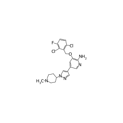 CN1CCC(n2cc(-c3cnc(N)c(OCc4c(Cl)ccc(F)c4Cl)c3)cn2)CC1